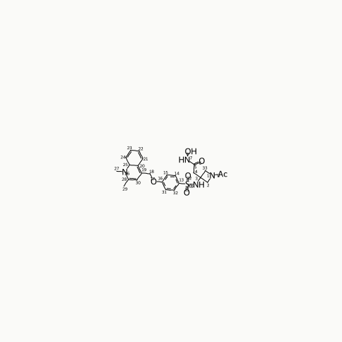 CC(=O)N1CC(CC(=O)NO)(NS(=O)(=O)c2ccc(OCC3=C4C=CC=CC4N(C)C(C)=C3)cc2)C1